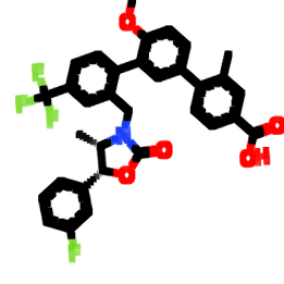 COc1ccc(-c2ccc(C(=O)O)cc2C)cc1-c1ccc(C(F)(F)F)cc1CN1C(=O)O[C@H](c2cccc(F)c2)[C@@H]1C